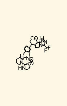 Cc1ccc(C(CC(=O)O)c2ccn3c(C(F)F)nnc3c2C)cc1CN1C[C@@H]2CCCCN2C2=C(C=CCN2)S1(=O)=O